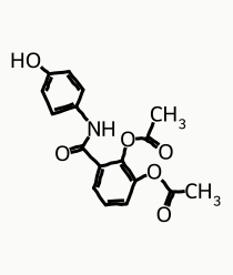 CC(=O)Oc1cccc(C(=O)Nc2ccc(O)cc2)c1OC(C)=O